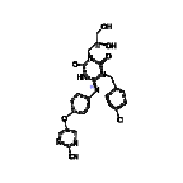 N#Cc1ncc(Oc2ccc(/N=c3\[nH]c(=O)n(C[C@H](O)CO)c(=O)n3Cc3ccc(Cl)cc3)cc2)cn1